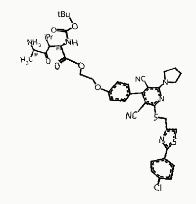 CC(C)C(C(=O)[C@@H](C)N)[C@@H](NC(=O)OC(C)(C)C)C(=O)OCCOc1ccc(-c2c(C#N)c(SCc3csc(-c4ccc(Cl)cc4)n3)nc(N3CCCC3)c2C#N)cc1